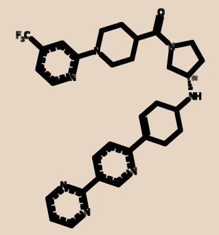 O=C(C1CCN(c2cc(C(F)(F)F)ccn2)CC1)N1CC[C@H](NC2CC=C(c3ccc(-c4ncccn4)cn3)CC2)C1